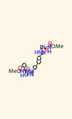 COC(=O)NCC(=O)N1CCC[C@H]1c1ncc(-c2ccc3cc(-c4ccc(-c5cnc([C@@H]6CCCN6C(=O)[C@H](NC(=O)OC)c6ccccc6F)[nH]5)cc4)ccc3c2)[nH]1